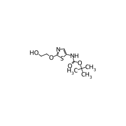 CC(C)(C)OC(=O)Nc1cnc(OCCO)s1